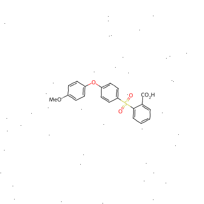 COc1ccc(Oc2ccc(S(=O)(=O)c3ccccc3C(=O)O)cc2)cc1